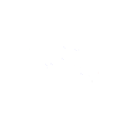 C[C@@H](CO)NC(=O)Oc1c[nH]c2ncc(-c3n[nH]c4cc(Cl)ccc34)nc12